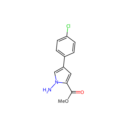 COC(=O)c1cc(-c2ccc(Cl)cc2)cn1N